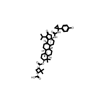 CC(C)C1=C2[C@H]3CC[C@@H]4[C@@]5(C)CC[C@H](OC(=O)[C@H]6C[C@@H](C(=O)O)C6(C)C)C(C)(C)[C@@H]5CC[C@@]4(C)[C@]3(C)CC[C@@]2(NC(=O)NC2(c3ccc(Cl)cc3)CC2)CC1=O